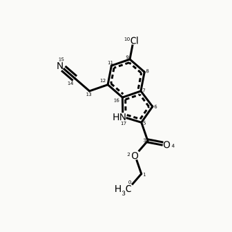 CCOC(=O)c1cc2cc(Cl)cc(CC#N)c2[nH]1